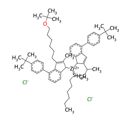 CCCCCC[Si](C)=[Zr+2]([CH]1C(C(C)C)=Cc2c(-c3ccc(C(C)(C)C)cc3)cccc21)[CH]1C(C)=C(CCCCCCOC(C)(C)C)c2c(-c3ccc(C(C)(C)C)cc3)cccc21.[Cl-].[Cl-]